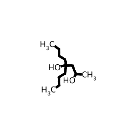 CCCCC(O)(CCCC)CC(C)O